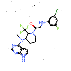 CN(c1ncnc2[nH]ccc12)C1CCCN(C(=O)CNc2cc(F)cc(Cl)c2)C1C(F)(F)F